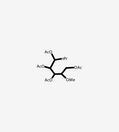 CCCC(OC(C)=O)C(OC(C)=O)C(OC(C)=O)C(COC(C)=O)OC